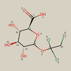 O=C(O)[C@H]1OC(OC(Cl)(Cl)CCl)[C@H](O)[C@@H](O)[C@@H]1O